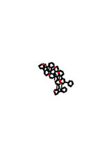 c1ccc(-c2cccc(-c3ccccc3N(c3ccc(-n4c5ccccc5c5ccccc54)cc3)c3cccc4c3-c3ccccc3C43c4ccccc4-n4c5ccccc5c5cccc3c54)c2)cc1